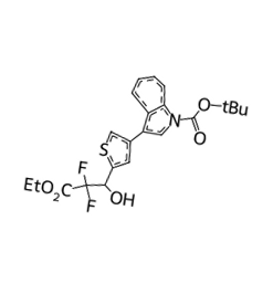 CCOC(=O)C(F)(F)C(O)c1cc(-c2cn(C(=O)OC(C)(C)C)c3ccccc23)cs1